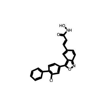 O=C(/C=C/c1ccc2noc(-c3ccc(-c4ccccc4)c(Cl)c3)c2c1)NO